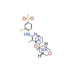 Cc1c(Nc2ccc(S(C)(=O)=O)cc2F)ncnc1O[C@H]1C[C@H]2COC[C@@H](C1)N2CC1CCCCC1